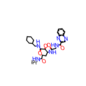 CC(C)NC(=O)CCC(NC(=O)CNC(=O)c1cnc2ccccc2n1)C(=O)C(=O)NCC1CCCCC1